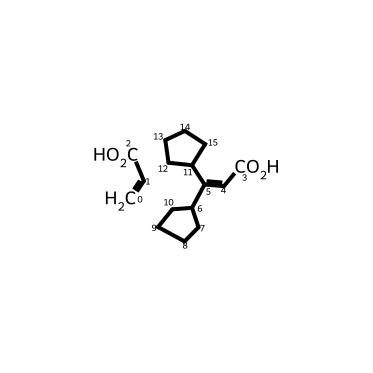 C=CC(=O)O.O=C(O)C=C(C1CCCC1)C1CCCC1